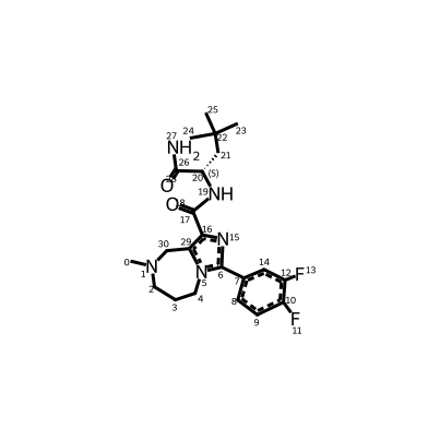 CN1CCCn2c(-c3ccc(F)c(F)c3)nc(C(=O)N[C@@H](CC(C)(C)C)C(N)=O)c2C1